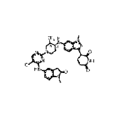 CN1C(=O)Cc2cc(Nc3nc(N4CC[C@H](Nc5ccc6c(C7CCC(=O)NC7=O)nn(C)c6c5)[C@H](C(F)(F)F)C4)ncc3Cl)ccc21